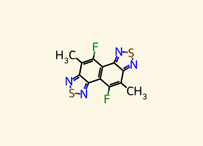 Cc1c(F)c2c3nsnc3c(C)c(F)c2c2nsnc12